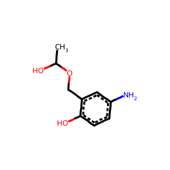 CC(O)OCc1cc(N)ccc1O